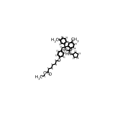 CCOC(=O)CCCCCOc1ccc(CC(NC(=O)NC2CCCC2)(c2cccc(C)c2)c2cccc(C)c2)cc1